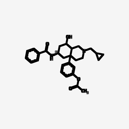 CC(=O)Oc1cccc(C23CCN(CC4CC4)CC2C(O)C[C@H](NC(=O)c2ccccc2)C3)c1